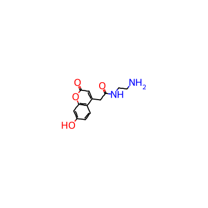 NCCNC(=O)Cc1cc(=O)oc2cc(O)ccc12